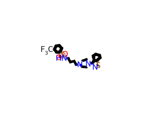 O=S(=O)(NCCCCN1CCN(c2nsc3ccccc23)CC1)c1cccc(C(F)(F)F)c1